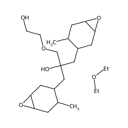 CC1CC2OC2CC1CC(O)(COCCO)CC1CC2OC2CC1C.CCOCC